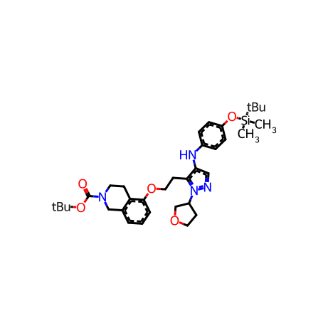 CC(C)(C)OC(=O)N1CCc2c(cccc2OCCc2c(Nc3ccc(O[Si](C)(C)C(C)(C)C)cc3)cnn2C2CCOC2)C1